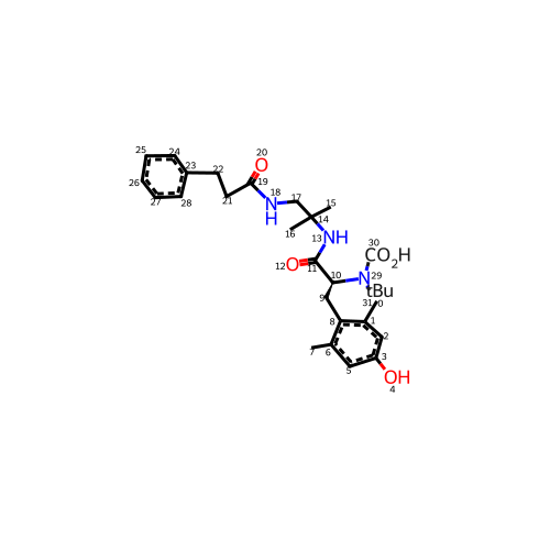 Cc1cc(O)cc(C)c1C[C@@H](C(=O)NC(C)(C)CNC(=O)CCc1ccccc1)N(C(=O)O)C(C)(C)C